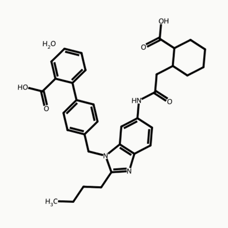 CCCCc1nc2ccc(NC(=O)CC3CCCCC3C(=O)O)cc2n1Cc1ccc(-c2ccccc2C(=O)O)cc1.O